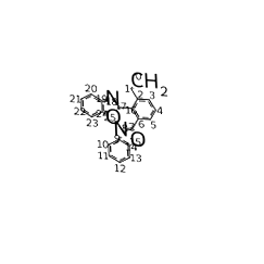 C=Cc1cccc(-c2nc3ccccc3o2)c1-c1nc2ccccc2o1